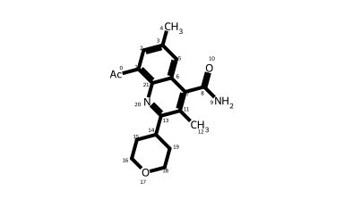 CC(=O)c1cc(C)cc2c(C(N)=O)c(C)c(C3CCOCC3)nc12